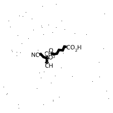 C#CC(C)(CCC#N)OC(=O)CCCCC(=O)O